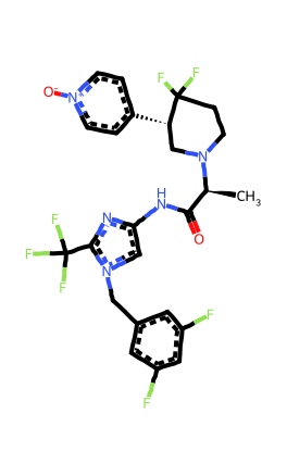 C[C@@H](C(=O)Nc1cn(Cc2cc(F)cc(F)c2)c(C(F)(F)F)n1)N1CCC(F)(F)[C@@H](c2cc[n+]([O-])cc2)C1